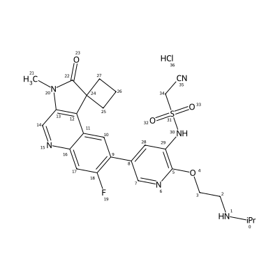 CC(C)NCCOc1ncc(-c2cc3c4c(cnc3cc2F)N(C)C(=O)C42CCC2)cc1NS(=O)(=O)CC#N.Cl